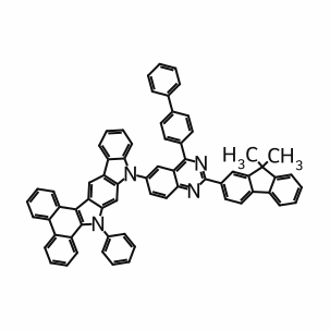 CC1(C)c2ccccc2-c2ccc(-c3nc(-c4ccc(-c5ccccc5)cc4)c4cc(-n5c6ccccc6c6cc7c8c9ccccc9c9ccccc9c8n(-c8ccccc8)c7cc65)ccc4n3)cc21